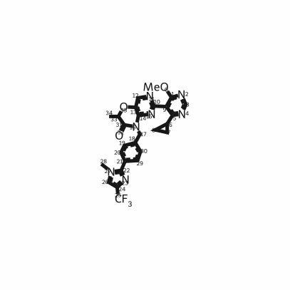 COc1ncnc(C2CC2)c1-c1ncc2c(n1)N(Cc1ccc(-c3nc(C(F)(F)F)cn3C)cc1)C(=O)C(C)O2